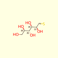 OC[C@@H](O)[C@@H](O)[C@@H](O)[C@H](O)C=S